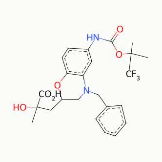 CC(O)(CC1CN(Cc2ccccc2)c2cc(NC(=O)OC(C)(C)C(F)(F)F)ccc2O1)C(=O)O